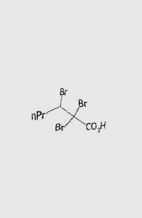 CCCC(Br)C(Br)(Br)C(=O)O